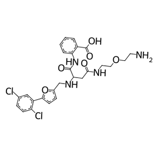 NCCOCCNC(=O)CC(NCc1ccc(-c2cc(Cl)ccc2Cl)o1)C(=O)Nc1ccccc1C(=O)O